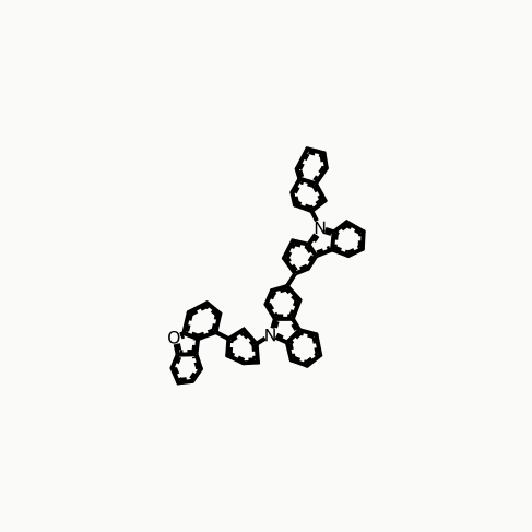 c1cc(-c2cccc3oc4ccccc4c23)cc(-n2c3ccccc3c3cc(-c4ccc5c(c4)c4ccccc4n5-c4ccc5ccccc5c4)ccc32)c1